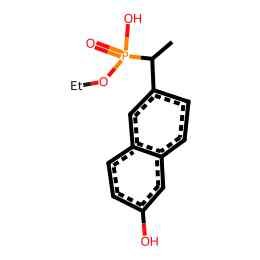 CCOP(=O)(O)C(C)c1ccc2cc(O)ccc2c1